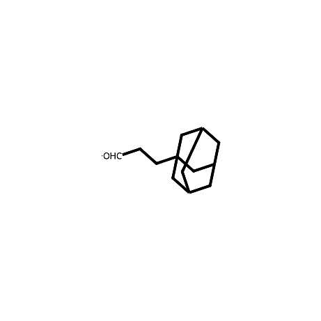 O=[C]CCC12CC3CC(CC(C3)C1)C2